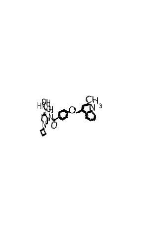 Cc1cc(COc2ccc(C(=O)N[C@@H]3CN(C4CCC4)CC[C@@H]3C(=O)NO)cc2)c2ccccc2n1